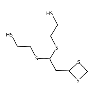 SCCSC(CC1SCS1)SCCS